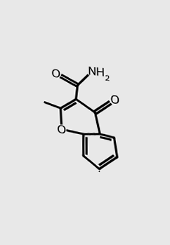 Cc1oc2c[c]ccc2c(=O)c1C(N)=O